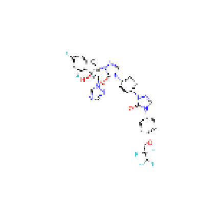 C[C@@H](n1ncn(-c2ccc(-n3ncn(-c4ccc(OCC(F)(F)C(F)F)cc4)c3=O)cc2)c1=O)[C@](O)(Cn1cncn1)c1ccc(F)cc1F